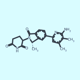 Cc1cc(-c2ccc3c(c2)[C@H](C)N(C2CCC(=O)NC2=O)C3=O)nc(N)c1C